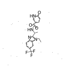 CCn1c(C(C)NS(=O)(=O)c2ccc(=O)[nH]c2)nc2ccc(C(F)(F)F)cc21